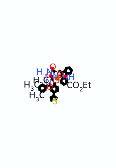 CCOC(=O)c1ccc(S(=O)(=O)N(C(=O)[C@H](Cc2ccc(-c3ccsc3)cc2)N(C)C(=O)c2cc(C)cc(C)c2)[C@@H](Cc2c[nH]c3ccccc23)C(N)=O)cc1